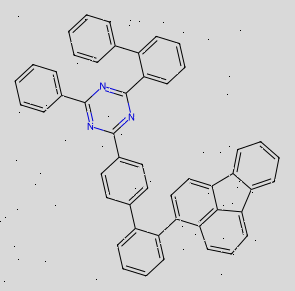 c1ccc(-c2nc(-c3ccc(-c4ccccc4-c4ccc5c6c(cccc46)-c4ccccc4-5)cc3)nc(-c3ccccc3-c3ccccc3)n2)cc1